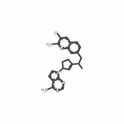 CC(Cc1ccc2cc(Cl)c(N)nc2c1)C1=CC(n2ccc3c(N)ncnc32)CC1